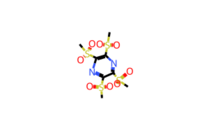 CS(=O)(=O)c1nc(S(C)(=O)=O)c(S(C)(=O)=O)nc1S(C)(=O)=O